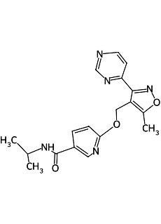 Cc1onc(-c2ccncn2)c1COc1ccc(C(=O)NC(C)C)cn1